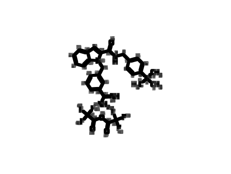 C[N+](C)(C)c1ccc(CNC(=O)c2cc3ccccc3n2Cc2cccc(C(=N)N)c2)cc1.O=C(OC(=O)C(F)(F)F)C(F)(F)F